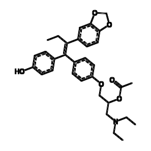 CCC(=C(c1ccc(O)cc1)c1ccc(OCC(CN(CC)CC)OC(C)=O)cc1)c1ccc2c(c1)OCO2